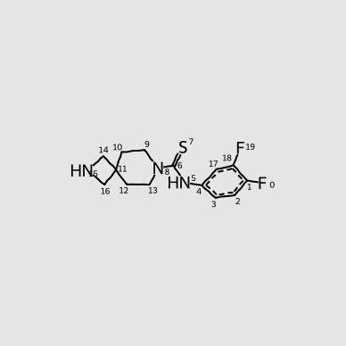 Fc1ccc(NC(=S)N2CCC3(CC2)CNC3)cc1F